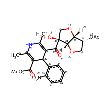 COC(=O)C1=C(C)NC(C)=C(C(=O)[C@]2(O)CO[C@@H]3[C@H](OC(C)=O)CO[C@@H]32)C1c1ccccc1[N+](=O)[O-]